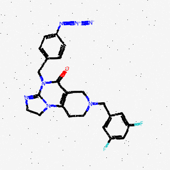 [N-]=[N+]=Nc1ccc(CN2C(=O)C3=C(CCN(Cc4cc(F)cc(F)c4)C3)N3CCN=C23)cc1